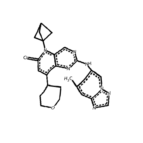 Cc1cc2ncnn2cc1Nc1ncc2c(n1)c(C1CCOCC1)cc(=O)n2C12CC(C1)C2